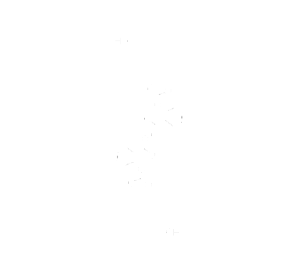 CCCCCCOC(=O)Oc1ccccc1C(=O)OOC(=O)c1ccccc1OC(=O)OCCCCCC